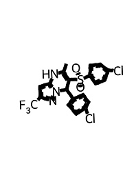 CC1=C(S(=O)(=O)c2ccc(Cl)cc2)C(c2ccc(Cl)cc2)n2nc(C(F)(F)F)cc2N1